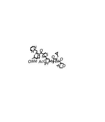 COC(=O)[C@@H](C)C[C@H](Cc1ncccn1)NC(=O)c1csc([C@@H](C[C@H](C(C)C)N(C)C(=O)[C@H](CC2CC2)NC(=O)[C@H]2COCCN2C)OC(C)=O)n1